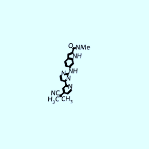 CNC(=O)c1cc2ccc(Nc3nccc(-c4cc(C(C)(C)C#N)ccn4)n3)cc2[nH]1